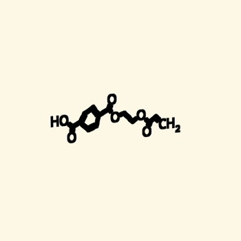 C=CC(=O)OCCOC(=O)c1ccc(C(=O)O)cc1